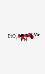 CCOC(=O)CCc1ccc(OCc2ccc(OCC(=NOC)c3ccccc3)cc2)cc1OCC#N